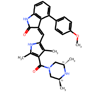 COc1ccc(-c2cccc3c2C(=Cc2[nH]c(C)c(C(=O)N4C[C@H](C)N[C@@H](C)C4)c2C)C(=O)N3)cc1